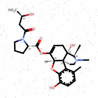 Cc1ccc(O)c2c1[C@]13CCN(C)[C@H](C)[C@]1(O)CC=C(OC(=O)[C@@H]1CCCN1C(=O)C[C@H](O)C(=O)O)[C@@H]3O2